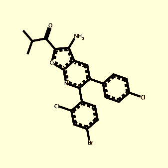 CC(C)C(=O)c1oc2nc(-c3ccc(Br)cc3Cl)c(-c3ccc(Cl)cc3)cc2c1N